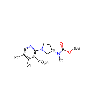 CCN(C(=O)OC(C)(C)C)[C@H]1CCN(c2ncc(C(C)C)c(C(C)C)c2C(=O)O)C1